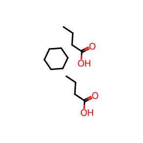 C1CCCCC1.CCCC(=O)O.CCCC(=O)O